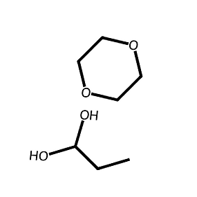 C1COCCO1.CCC(O)O